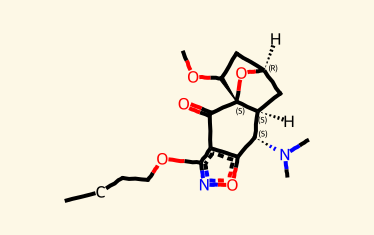 CCCCOc1noc2c1C(=O)[C@@]13O[C@@H](CC1OC)C[C@H]3[C@@H]2N(C)C